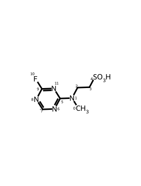 CN(CCS(=O)(=O)O)c1n[c]nc(F)n1